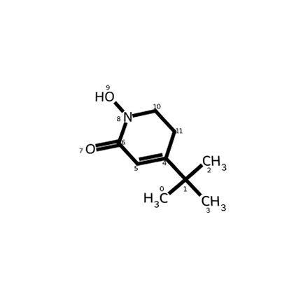 CC(C)(C)C1=CC(=O)N(O)CC1